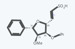 CO[C@@H]1[C@H](OC(C)C)[C@@H](/C=C/S(=O)(=O)O)O[C@H]1c1ccccc1